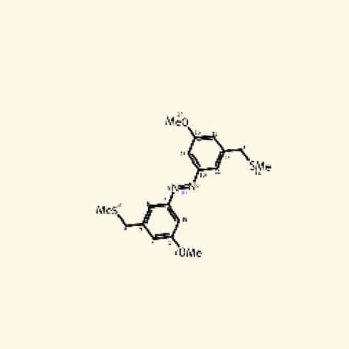 COc1cc(CSC)cc(/N=N/c2cc(CSC)cc(OC)c2)c1